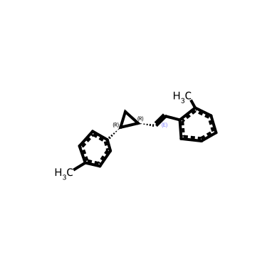 Cc1ccc([C@@H]2C[C@@H]2/C=C/c2ccccc2C)cc1